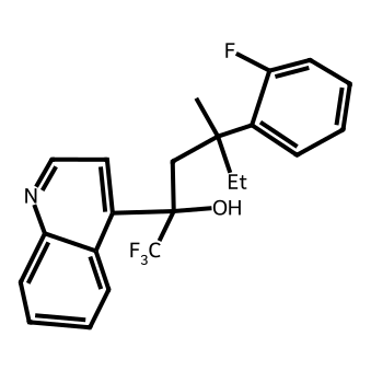 CCC(C)(CC(O)(c1ccnc2ccccc12)C(F)(F)F)c1ccccc1F